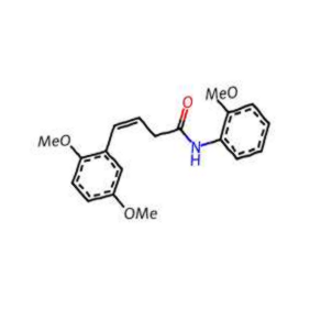 COc1ccc(OC)c(/C=C\CC(=O)Nc2ccccc2OC)c1